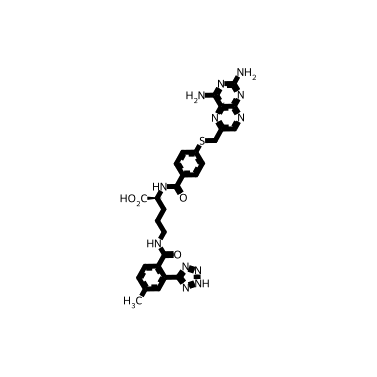 Cc1ccc(C(=O)NCCC[C@H](NC(=O)c2ccc(SCc3cnc4nc(N)nc(N)c4n3)cc2)C(=O)O)c(-c2nn[nH]n2)c1